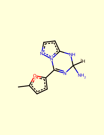 [2H]C1(N)N=C(c2ccc(C)o2)n2nccc2N1